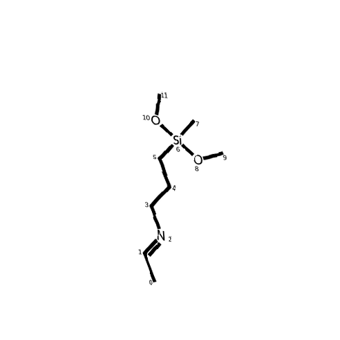 CC=NCCC[Si](C)(OC)OC